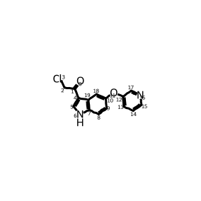 O=C(CCl)c1c[nH]c2ccc(Oc3cccnc3)cc12